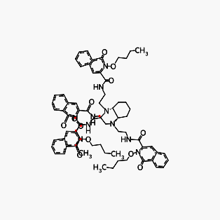 CCCCOn1c(C(=O)NCCN(CCNC(=O)c2cc3ccccc3c(=O)n2OCCCC)[C@@H]2CCCC[C@H]2N(CCNC(=O)c2cc3ccccc3c(=O)n2OCCCC)CCNC(=O)c2cc3ccccc3c(=O)n2OCCCC)cc2ccccc2c1=O